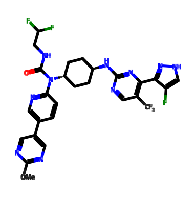 COc1ncc(-c2ccc(N(C(=O)NCC(F)F)[C@H]3CC[C@H](Nc4ncc(C(F)(F)F)c(-c5n[nH]cc5F)n4)CC3)nc2)cn1